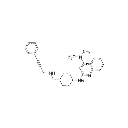 CN(C)c1nc(N[C@H]2CC[C@@H](CNCC#Cc3ccccc3)CC2)nc2ccccc12